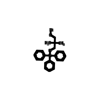 CCOCC(C)(C)CO[Si](c1ccccc1)(c1ccccc1)c1ccccc1